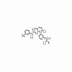 C=CC(=O)Nc1cccc(-n2c(=O)ccc3cnc(Nc4cccc(C(C)(C)C)c4)nc32)c1